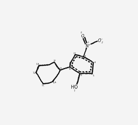 O=[N+]([O-])c1ccc(O)c(C2CCCCC2)c1